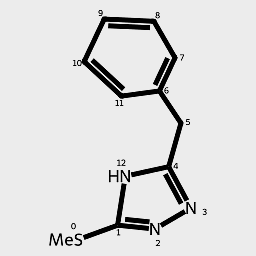 CSc1nnc(Cc2ccccc2)[nH]1